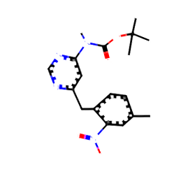 Cc1ccc(Cc2cc(N(C)C(=O)OC(C)(C)C)ncn2)c([N+](=O)[O-])c1